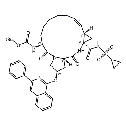 CC(C)(C)OC(=O)N[C@H]1CCCCC/C=C\[C@@H]2C[C@@]2(C(=O)NS(=O)(=O)C2CC2)NC(=O)[C@@H]2C[C@@H](Oc3nc(-c4ccccc4)cc4ccccc34)CN2C1=O